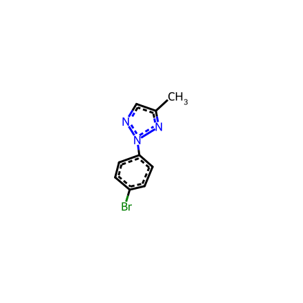 Cc1cnn(-c2ccc(Br)cc2)n1